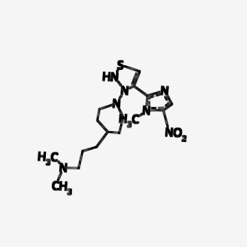 CN(C)CCCC1CCN(N2NSC=C2c2ncc([N+](=O)[O-])n2C)CC1